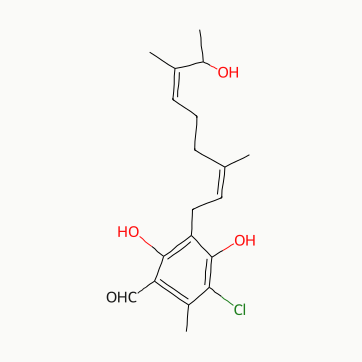 CC(=CCc1c(O)c(Cl)c(C)c(C=O)c1O)CCC=C(C)C(C)O